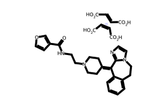 O=C(NCCN1CCC(=C2c3ccccc3CCn3ccnc32)CC1)c1ccoc1.O=C(O)/C=C\C(=O)O.O=C(O)C=CC(=O)O